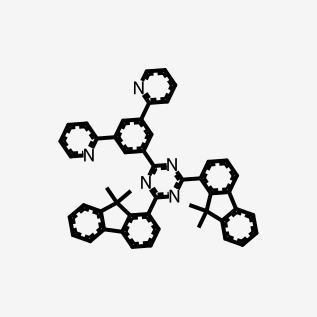 CC1(C)c2ccccc2-c2cccc(-c3nc(-c4cc(-c5ccccn5)cc(-c5ccccn5)c4)nc(-c4cccc5c4C(C)(C)c4ccccc4-5)n3)c21